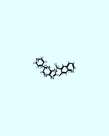 Cc1cc2ncccc2cc1C(C)n1cnc2ncc(-c3ccncc3)nc21